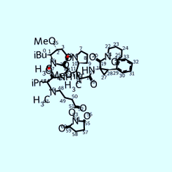 CC[C@H](C)[C@@H]([C@@H](CC(=O)N1CCC[C@H]1[C@H](OC)[C@@H](C)C(=O)N[C@@]1(C(=O)N2CCCCO2)C[C@@H]1c1ccccc1)OC)N(C)C(=O)[C@@H](NC(=O)[C@H](C(C)C)N(C)CCCC(=O)ON1C(=O)CCC1=O)C(C)C